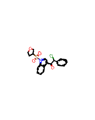 O=C(c1cn(S(=O)(=O)C2CCOC2)c2ccccc12)C(Cl)c1ccccc1